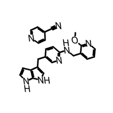 COc1ncccc1CNc1ccc(Cc2c[nH]c3[nH]ccc23)cn1.N#Cc1ccncc1